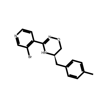 Cc1ccc(C[C@@H]2CON=C(c3ccncc3Br)N2)cc1